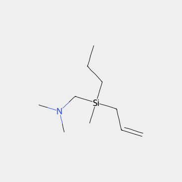 C=CC[Si](C)(CCC)CN(C)C